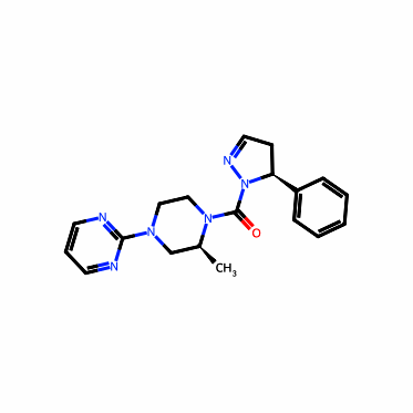 C[C@H]1CN(c2ncccn2)CCN1C(=O)N1N=CC[C@H]1c1ccccc1